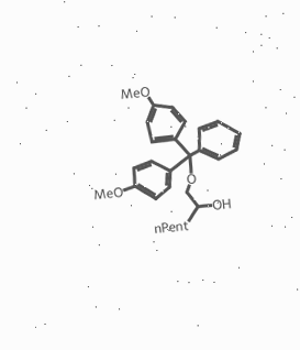 CCCCCC(O)COC(c1ccccc1)(c1ccc(OC)cc1)c1ccc(OC)cc1